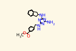 COC(=O)c1ccc(CNc2nc(N)nc(NC3Cc4ccccc4C3)n2)cc1